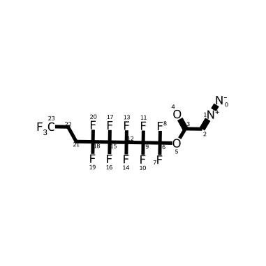 [N-]=[N+]=CC(=O)OC(F)(F)C(F)(F)C(F)(F)C(F)(F)C(F)(F)CCC(F)(F)F